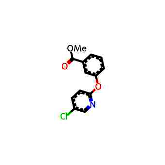 COC(=O)c1cccc(Oc2ccc(Cl)cn2)c1